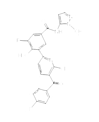 Cc1c(F)cc(C(=O)Nc2ccnn2C)cc1-c1ccc(C(=O)c2ccc(F)cc2)c(Cl)n1